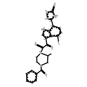 CC1CN(C(=O)c2ccccc2)CCN1C(=O)C(=O)c1c[nH]c2c(-c3noc(=O)[nH]3)ccc(F)c12